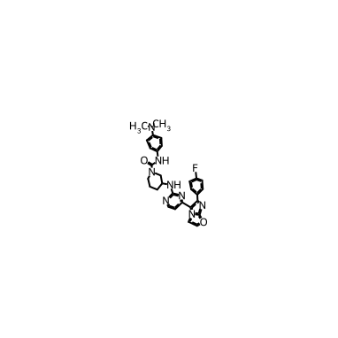 CN(C)c1ccc(NC(=O)N2CCCC(Nc3nccc(-c4c(-c5ccc(F)cc5)nc5occn45)n3)C2)cc1